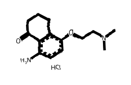 CN(C)CCOc1ccc(N)c2c1CCCC2=O.Cl